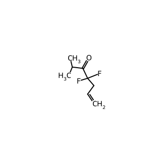 C=CCC(F)(F)C(=O)C(C)C